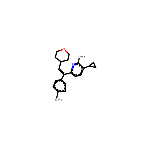 COc1ccc(/C(=C/C2CCOCC2)c2ccc(C3CC3)c(OC)n2)cc1